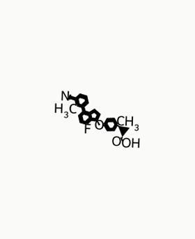 Cc1c(C#N)cccc1-c1ccc(F)c2c1CC[C@H]2OC1=CCC(C)([C@H]2C[C@@H]2C(=O)O)C=C1